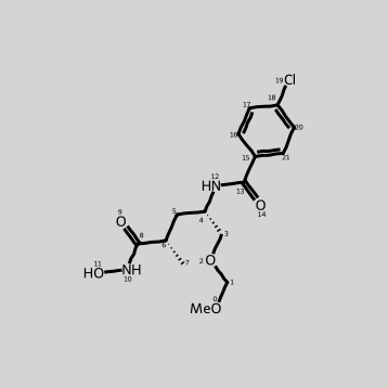 COCOC[C@H](C[C@H](C)C(=O)NO)NC(=O)c1ccc(Cl)cc1